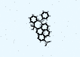 CN(C)c1ccc2cc3c4c(ccc5ccc1c2c54)B(c1ccccc1)c1ccccc1C3(C)C